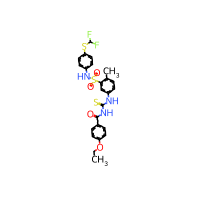 CCOc1ccc(C(=O)NC(=S)Nc2ccc(C)c(S(=O)(=O)Nc3ccc(SC(F)F)cc3)c2)cc1